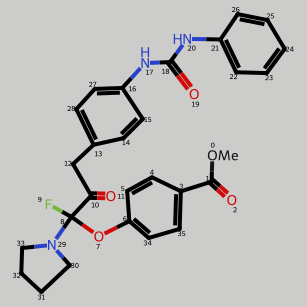 COC(=O)c1ccc(OC(F)(C(=O)Cc2ccc(NC(=O)Nc3ccccc3)cc2)N2CCCC2)cc1